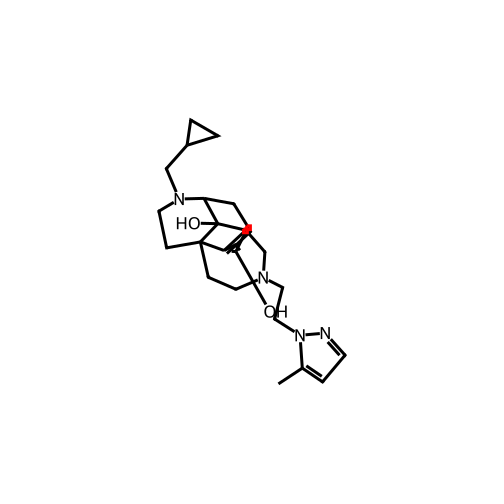 Cc1ccnn1CCN1CCC23CCN(CC4CC4)C(Cc4ccc(O)cc42)C3(O)CC1